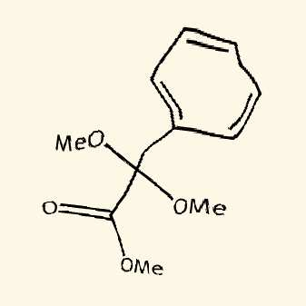 COC(=O)C(OC)(OC)c1ccccc1